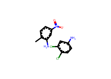 Cc1ccc([N+](=O)[O-])cc1N.Nc1ccc(Cl)c(Cl)c1